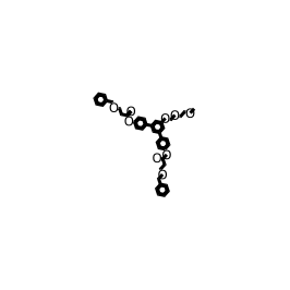 COCCOCOc1cc(-c2ccc(OC(=O)CCOCc3ccccc3)cc2)cc(-c2ccc(OC(=O)CCOCc3ccccc3)cc2)c1